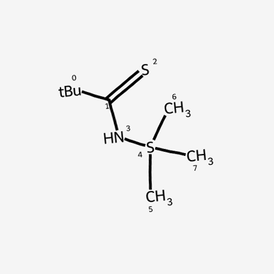 CC(C)(C)C(=S)NS(C)(C)C